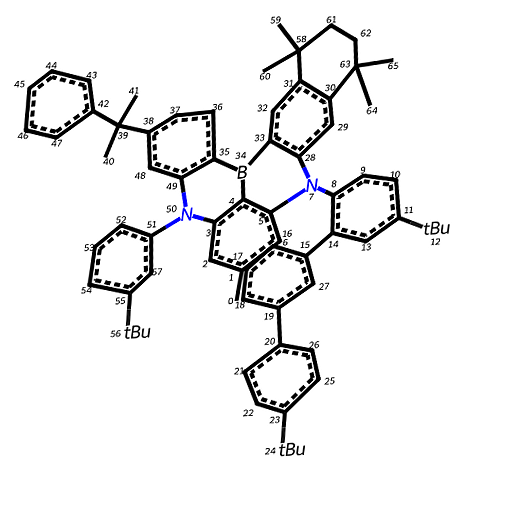 Cc1cc2c3c(c1)N(c1ccc(C(C)(C)C)cc1-c1cccc(-c4ccc(C(C)(C)C)cc4)c1)c1cc4c(cc1B3c1ccc(C(C)(C)c3ccccc3)cc1N2c1cccc(C(C)(C)C)c1)C(C)(C)CCC4(C)C